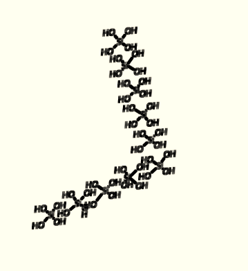 O[Si](O)(O)O.O[Si](O)(O)O.O[Si](O)(O)O.O[Si](O)(O)O.O[Si](O)(O)O.O[Si](O)(O)O.O[Si](O)(O)O.O[Si](O)(O)O.O[Si](O)(O)O.O[Si](O)(O)O